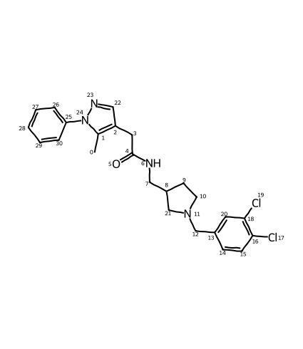 Cc1c(CC(=O)NCC2CCN(Cc3ccc(Cl)c(Cl)c3)C2)cnn1-c1ccccc1